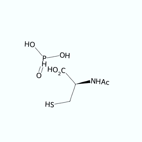 CC(=O)N[C@@H](CS)C(=O)O.O=[PH](O)O